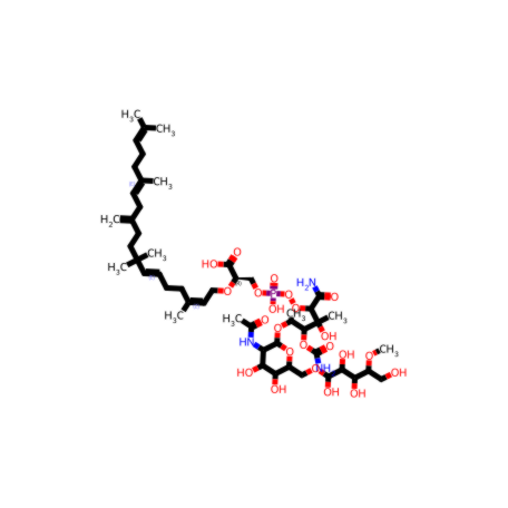 C=C(C/C=C(\C)CCC=C(C)C)CCC(C)(C)/C=C/CC/C(C)=C\CO[C@H](COP(=O)(O)OOC(C(N)=O)C(C)(O)C(OC(N)=O)C(C)OC1OC(COC(O)C(O)C(O)C(CO)OC)C(O)C(O)C1NC(C)=O)C(=O)O